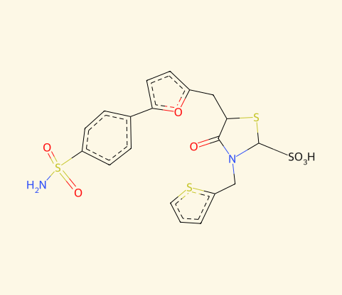 NS(=O)(=O)c1ccc(-c2ccc(CC3SC(S(=O)(=O)O)N(Cc4cccs4)C3=O)o2)cc1